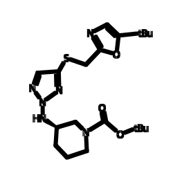 CC(C)(C)OC(=O)N1CCC[C@@H](Nn2ncc(SCc3ncc(C(C)(C)C)o3)n2)C1